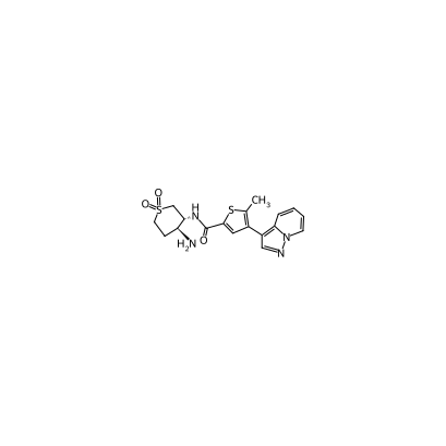 Cc1sc(C(=O)N[C@H]2CS(=O)(=O)CC[C@@H]2N)cc1-c1cnn2ccccc12